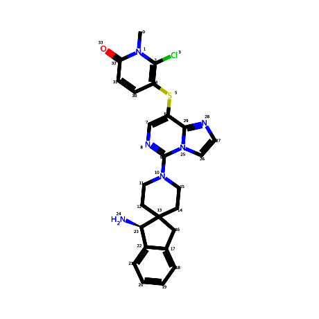 Cn1c(Cl)c(Sc2cnc(N3CCC4(CC3)Cc3ccccc3[C@H]4N)n3ccnc23)ccc1=O